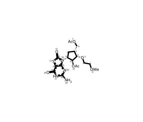 COCCO[C@H]1[C@@H](COC(C)=O)C[C@@H](n2c(=O)sc3c(=O)[nH]c(N)nc32)[C@@H]1OC(C)=O